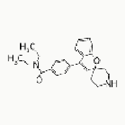 CCN(CC)C(=O)c1ccc(C2=CC3(CCNCC3)Oc3ccccc32)cc1